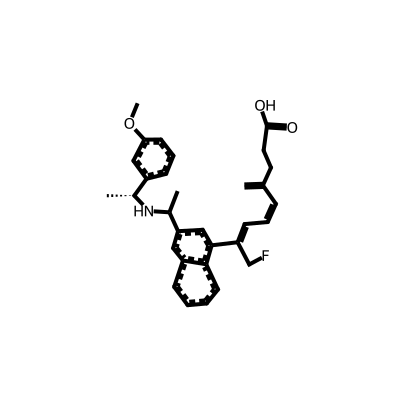 C=C(/C=C\C=C(/CF)c1cc(C(C)N[C@H](C)c2cccc(OC)c2)cc2ccccc12)CCC(=O)O